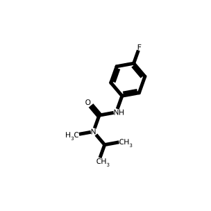 CC(C)N(C)C(=O)Nc1ccc(F)cc1